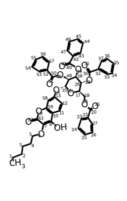 CCCCCCOc1c(O)c2ccc(O[C@H]3O[C@H](COC(=O)c4ccccc4)[C@@H](OC(=O)c4ccccc4)[C@H](OC(=O)c4ccccc4)[C@@H]3OC(=O)c3ccccc3)cc2oc1=O